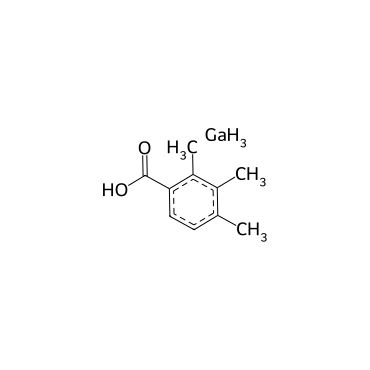 Cc1ccc(C(=O)O)c(C)c1C.[GaH3]